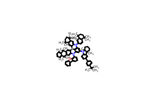 CC(C)(C)c1ccc(-c2ccc3c(c2)C2(C)CCCCC2(C)N3c2cc3c4c(c2)N(c2cccc5c2oc2ccccc25)c2cc5c(cc2B4c2cc4c(cc2N3c2ccc3c(c2)C(C)(C)CCC3(C)C)C(C)(C)CCC4(C)C)C(C)(C)c2ccccc2C5(C)C)cc1